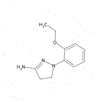 CCOc1ccccc1N1CCC(N)=N1